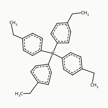 CCc1ccc([B-](c2ccc(CC)cc2)(c2ccc(CC)cc2)c2ccc(CC)cc2)cc1